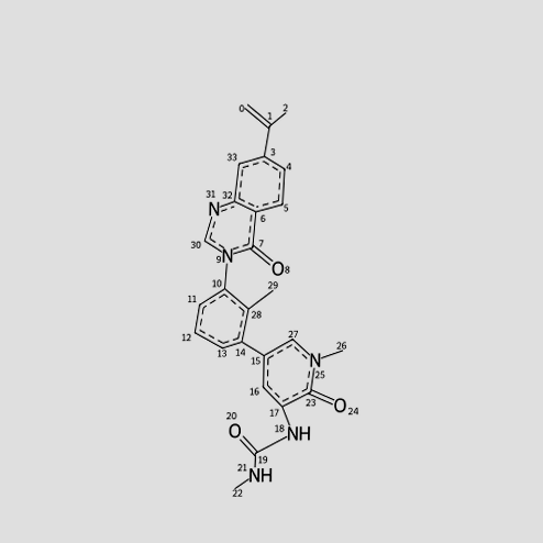 C=C(C)c1ccc2c(=O)n(-c3cccc(-c4cc(NC(=O)NC)c(=O)n(C)c4)c3C)cnc2c1